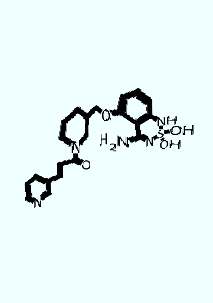 NC1=NS(O)(O)Nc2cccc(OCC3CCCN(C(=O)CCc4cccnc4)C3)c21